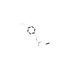 C=COC(C)COc1ccc(O)cc1